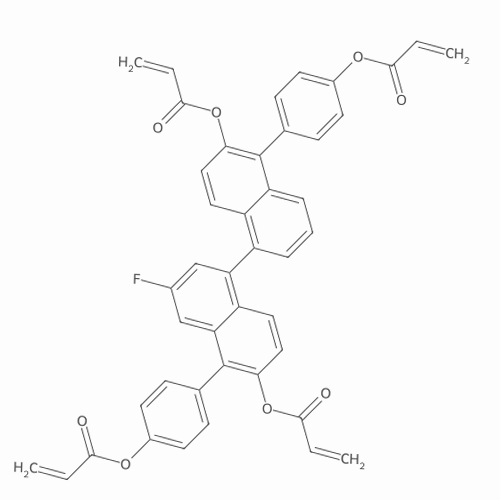 C=CC(=O)Oc1ccc(-c2c(OC(=O)C=C)ccc3c(-c4cc(F)cc5c(-c6ccc(OC(=O)C=C)cc6)c(OC(=O)C=C)ccc45)cccc23)cc1